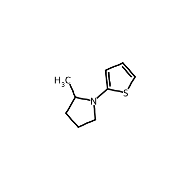 CC1CCCN1c1cccs1